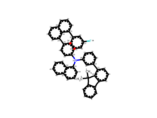 CC1(C)c2ccccc2-c2cccc(-c3cccc(N(c4ccc(-c5cccc6cccc(-c7cccc(F)c7)c56)cc4)c4cccc5ccccc45)c3)c21